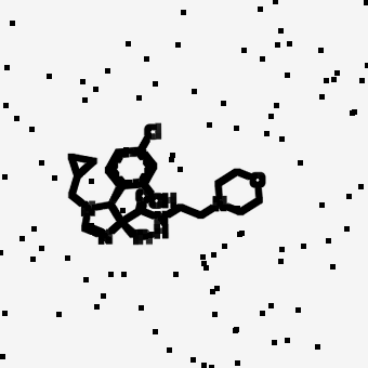 CC(C)[C@@]1(C(=O)NCCN2CCOCC2)N=CN(CC2CC2)[C@H]1c1ccc(Cl)cc1O